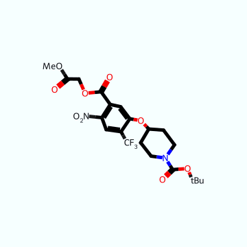 COC(=O)COC(=O)c1cc(OC2CCN(C(=O)OC(C)(C)C)CC2)c(C(F)(F)F)cc1[N+](=O)[O-]